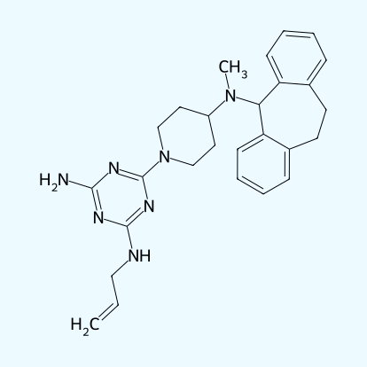 C=CCNc1nc(N)nc(N2CCC(N(C)C3c4ccccc4CCc4ccccc43)CC2)n1